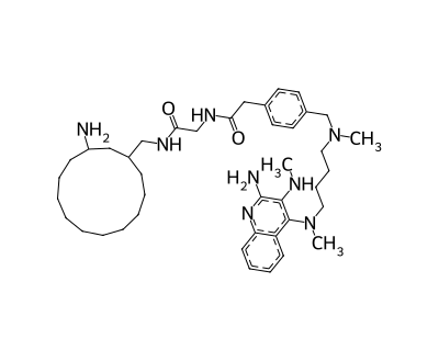 CNc1c(N)nc2ccccc2c1N(C)CCCCN(C)Cc1ccc(CC(=O)NCC(=O)NCC2CCCCCCCCCCC(N)C2)cc1